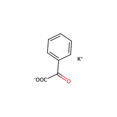 O=C([O-])C(=O)c1ccccc1.[K+]